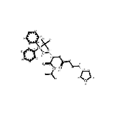 CC(C)OC(=O)[C@H](CO[Si](c1ccccc1)(c1ccccc1)C(C)(C)C)CC(=O)CCC[C@@H]1CCOC1